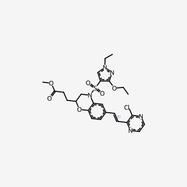 CCOc1nn(CC)cc1S(=O)(=O)N1CC(CCC(=O)OC)Oc2ccc(/C=C/c3nccnc3Cl)cc21